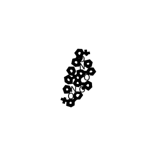 CC(C)(C)c1cccc2c3c(oc12)C(N(c1ccccc1)c1cc2c(c4c1oc1ccccc14)-c1c(cc(N(c4ccccc4)c4cccc5c4oc4c(C(C)(C)C)cccc45)c4c1oc1ccccc14)C2(c1ccccc1)c1ccccc1)CC=C3